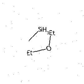 CCOCC.C[SiH3]